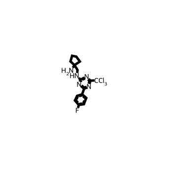 NC1(CNc2nc(-c3ccc(F)cc3)nc(C(Cl)(Cl)Cl)n2)CCCC1